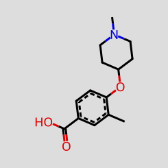 Cc1cc(C(=O)O)ccc1OC1CCN(C)CC1